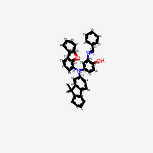 CC1(C)c2ccccc2-c2ccc(N(c3ccc(O)c(/N=C/c4ccccc4)c3)c3cccc4c3oc3ccccc34)cc21